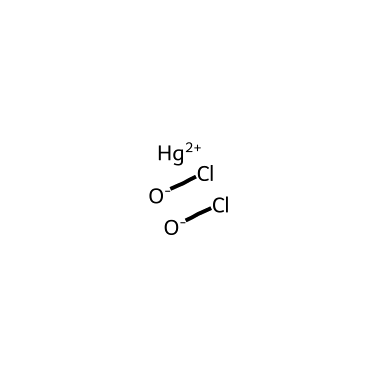 [Hg+2].[O-]Cl.[O-]Cl